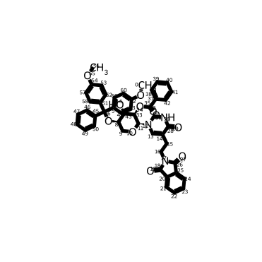 COc1ccc(C(O[C@@H]2CO[C@@H](n3cc(CCN4C(=O)c5ccccc5C4=O)c(=O)[nH]c3=O)[C@H](OC(=O)c3ccccc3)[C@@H]2O)(c2ccccc2)c2ccc(OC)cc2)cc1